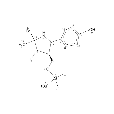 C[C@H]1[C@H](CO[Si](C)(C)C(C)(C)C)N(c2ccc(O)cc2)NC1(Br)C(F)(F)F